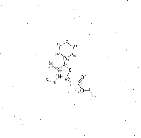 CCOC(=O)/C=C1\SC(N2CCCCC2)C(=O)N1CC